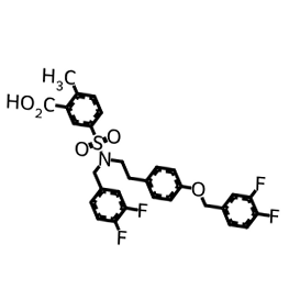 Cc1ccc(S(=O)(=O)N(CCc2ccc(OCc3ccc(F)c(F)c3)cc2)Cc2ccc(F)c(F)c2)cc1C(=O)O